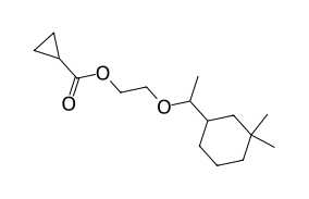 CC(OCCOC(=O)C1CC1)C1CCCC(C)(C)C1